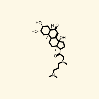 CN(C)CCCN(C)CC(=O)[C@H]1CC[C@@]2(O)C3=CC(=O)[C@@H]4C[C@@H](O)[C@@H](O)C[C@]4(C)C3CC[C@]12C